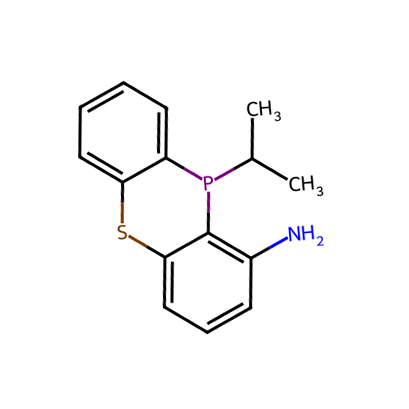 CC(C)P1c2ccccc2Sc2cccc(N)c21